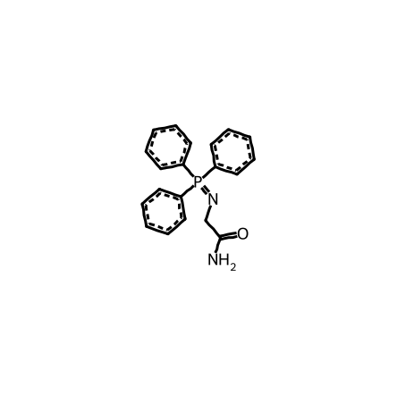 NC(=O)CN=P(c1ccccc1)(c1ccccc1)c1ccccc1